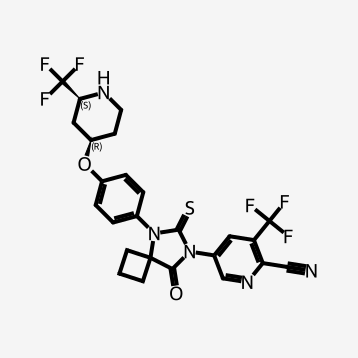 N#Cc1ncc(N2C(=O)C3(CCC3)N(c3ccc(O[C@@H]4CCN[C@H](C(F)(F)F)C4)cc3)C2=S)cc1C(F)(F)F